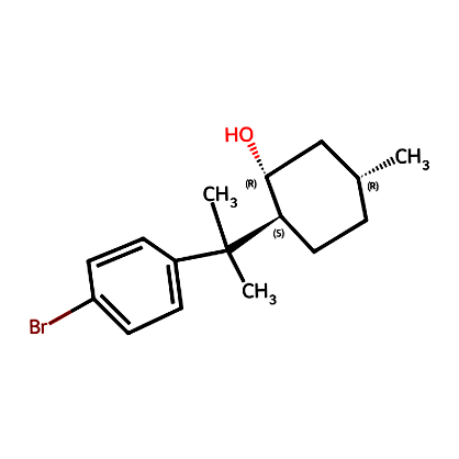 C[C@@H]1CC[C@@H](C(C)(C)c2ccc(Br)cc2)[C@H](O)C1